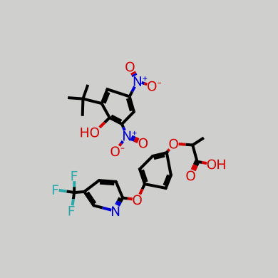 CC(C)(C)c1cc([N+](=O)[O-])cc([N+](=O)[O-])c1O.CC(Oc1ccc(Oc2ccc(C(F)(F)F)cn2)cc1)C(=O)O